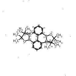 COc1cccc(B2OC(C)(C)C(C)(C)O2)c1-c1c(OC)cccc1B1OC(C)(C)C(C)(C)O1